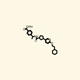 COC(=O)c1ccc(C(C)NC(=O)C2CCC(c3ccc(OCCC4CCCCC4)nc3)C2)cc1